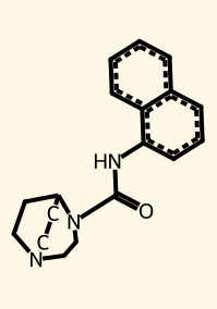 O=C(Nc1cccc2ccccc12)N1CCN2CCC1CC2